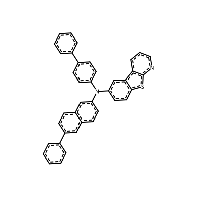 c1ccc(-c2ccc(N(c3ccc4cc(-c5ccccc5)ccc4c3)c3ccc4sc5ncccc5c4c3)cc2)cc1